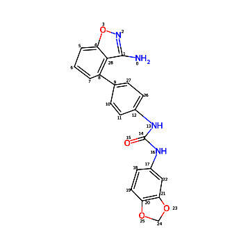 Nc1noc2cccc(-c3ccc(NC(=O)Nc4ccc5c(c4)OCO5)cc3)c12